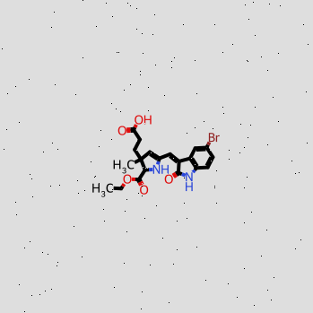 CCOC(=O)C1NC(C=C2C(=O)Nc3ccc(Br)cc32)=CC1(C)CCC(=O)O